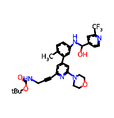 Cc1ccc(NC(O)c2ccnc(C(F)(F)F)c2)cc1-c1cc(C#CCNC(=O)OC(C)(C)C)nc(N2CCOCC2)c1